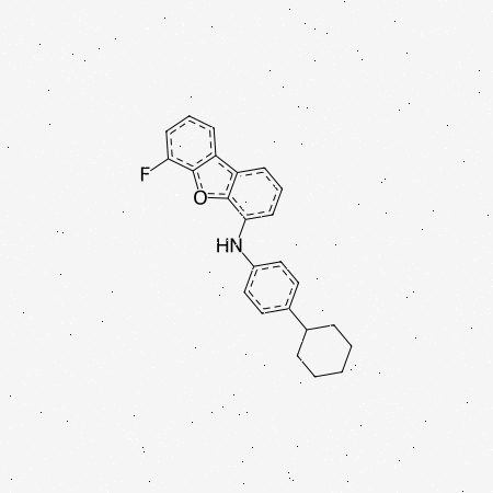 Fc1cccc2c1oc1c(Nc3ccc(C4CCCCC4)cc3)cccc12